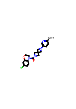 COc1ccc(N2CC3(CN(C(=O)N4CCOc5cc(Cl)ccc54)C3)C2)cn1